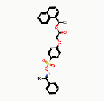 CCC(OC(=O)COc1ccc(S(=O)(=O)O/N=C(\C#N)c2ccccc2)cc1)c1cccc2ccccc12